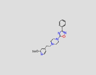 COc1cc(CCN2CCN(c3nc(-c4ccccc4)no3)CC2)ccn1